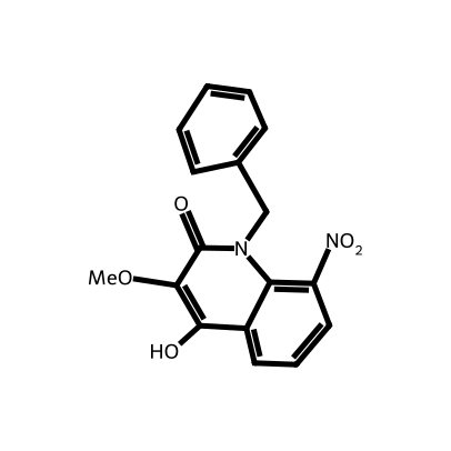 COc1c(O)c2cccc([N+](=O)[O-])c2n(Cc2ccccc2)c1=O